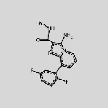 CCCNC(=O)c1nc2c(-c3cc(F)ccc3F)cccn2c1N